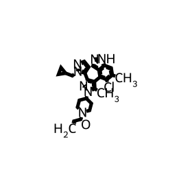 C=CC(=O)N1CCC(n2nc(-c3ccnn3CC3CC3)c(-c3c(Cl)c(C)cc4[nH]ncc34)c2C)CC1